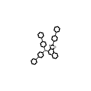 c1ccc(-c2ccc(-c3nc4c(N(c5ccc(-c6ccccc6)cc5)c5ccc(-c6ccccc6)cc5)cc5ccccc5c4o3)cc2)cc1